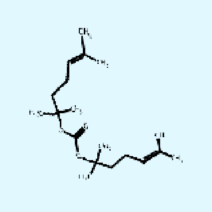 CC(C)=CCCC(C)(C)OC(=O)OC(C)(C)CCC=C(C)C